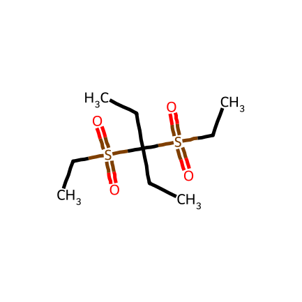 CCC(CC)(S(=O)(=O)CC)S(=O)(=O)CC